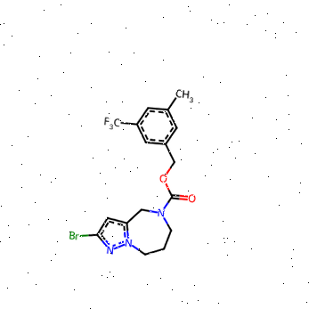 Cc1cc(COC(=O)N2CCCn3nc(Br)cc3C2)cc(C(F)(F)F)c1